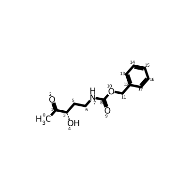 CC(=O)[C@@H](O)CCNC(=O)OCc1ccccc1